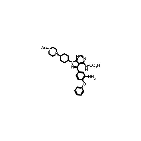 CC(=O)N1CCN(C2CCC(n3nc(-c4ccc(Oc5ccccc5)c(N)c4)c4c(NC(=O)O)ncnc43)CC2)CC1